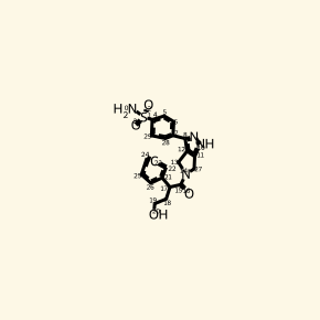 NS(=O)(=O)c1ccc(-c2n[nH]c3c2CN(C(=O)C(CCO)c2ccccc2)C3)cc1